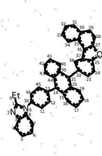 CCc1nc2ccccc2n1-c1ccc(-c2c3ccccc3c(-c3ccc4oc5ccc6ccccc6c5c4c3)c3ccccc23)cc1